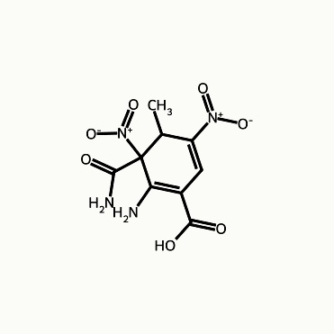 CC1C([N+](=O)[O-])=CC(C(=O)O)=C(N)C1(C(N)=O)[N+](=O)[O-]